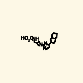 O=C(O)NCC1CN(c2nccc(-c3ccc4ccccc4c3)n2)C1